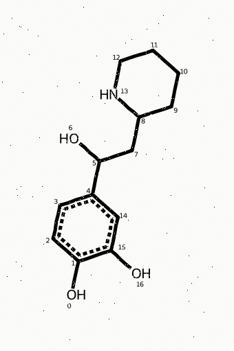 Oc1ccc(C(O)CC2CCCCN2)cc1O